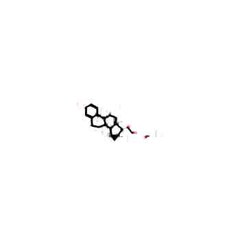 CCCC(=O)OCC(=O)[C@H]1[C@@H]2C[C@@H]2[C@H]2[C@@H]3C[C@H](F)C4=CC(=O)C=C[C@]4(C)[C@H]3[C@@H](O)C[C@@]21C